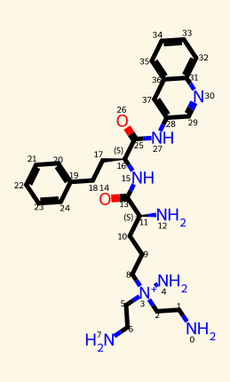 NCC[N+](N)(CCN)CCC[C@H](N)C(=O)N[C@@H](CCc1ccccc1)C(=O)Nc1cnc2ccccc2c1